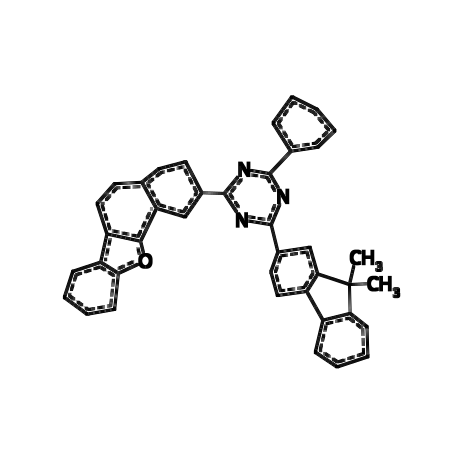 CC1(C)c2ccccc2-c2ccc(-c3nc(-c4ccccc4)nc(-c4ccc5ccc6c7ccccc7oc6c5c4)n3)cc21